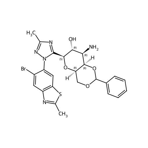 Cc1nc([C@@H]2O[C@@H]3COC(c4ccccc4)O[C@@H]3[C@H](N)[C@H]2O)n(-c2cc3sc(C)nc3cc2Br)n1